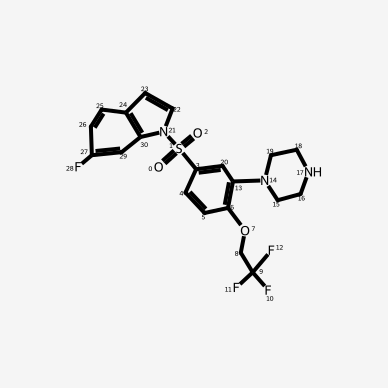 O=S(=O)(c1ccc(OCC(F)(F)F)c(N2CCNCC2)c1)n1ccc2ccc(F)cc21